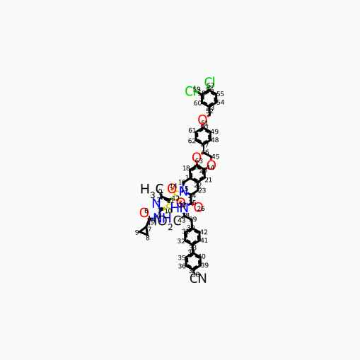 Cc1nc(NC(=O)C2CC2)sc1S(=O)(=O)N1Cc2cc3c(cc2CC1C(=O)N[C@@H](Cc1ccc(-c2ccc(C#N)cc2)cc1)C(=O)O)OC[C@H](c1ccc(OCc2ccc(Cl)c(Cl)c2)cc1)O3